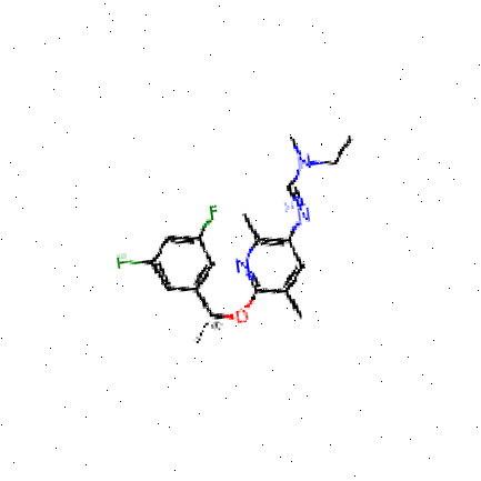 CCN(C)/C=N/c1cc(C)c(O[C@H](C)c2cc(F)cc(F)c2)nc1C